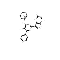 Fc1c(N[C@H]2CC3CCC2CC3)nc(-c2c[nH]c3ncc(Cl)nc23)nc1-c1ccccc1